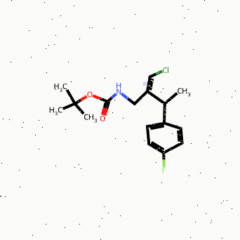 CC(/C(=C\Cl)CNC(=O)OC(C)(C)C)c1ccc(F)cc1